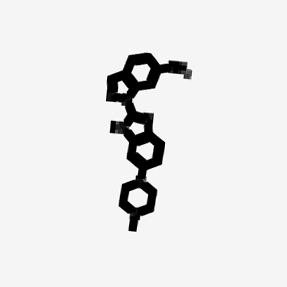 CN1CCN(c2ccc3nc(-n4ncc5ccc(N)cc54)[nH]c3c2)CC1